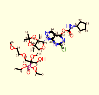 CCOP(=O)(OCC)C(CO)(COCCOC)OC[C@H]1O[C@@H](n2ncc3c(OC(=O)NC4CCCC4)nc(Cl)nc32)[C@@H]2OC(C)(C)O[C@@H]21